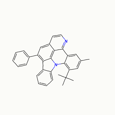 Cc1cc(C(C)(C)C)c2c(c1)c1nccc3cc(-c4ccccc4)c4c5ccccc5n2c4c31